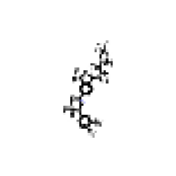 CN(NC(=O)c1ccc(/C(F)=C/C(c2ccc(Br)c(Br)c2)C(F)(F)F)cc1C(F)(F)F)C(=O)NCC(F)(F)F